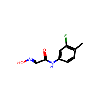 Cc1ccc(NC(=O)/C=N/O)cc1F